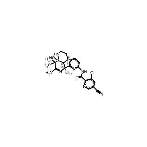 CC1(C)C(N)=N[C@](C)(c2nc(NC(=O)c3ncc(C#N)cc3Cl)ccc2F)[C@@H]2CCCNS21O